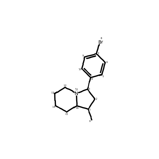 CC1CC(c2ccc(Br)cc2)N2CCCCC12